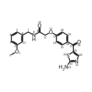 COc1cccc(CNC(=O)COc2ccc(C(=O)c3cnc(N)s3)cc2)c1